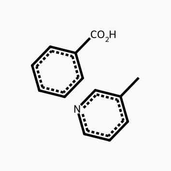 Cc1cccnc1.O=C(O)c1ccccc1